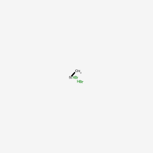 Br.Br.[CH3][In]